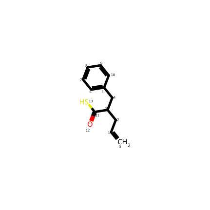 C=CCC(Cc1ccccc1)C(=O)S